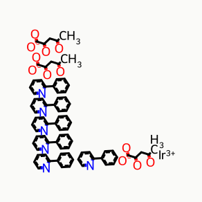 CC(=O)CC(=O)C(=O)[O-].CC(=O)CC(=O)C(=O)[O-].CC(=O)CC(=O)C(=O)[O-].[Ir+3].c1ccc(-c2ccccn2)cc1.c1ccc(-c2ccccn2)cc1.c1ccc(-c2ccccn2)cc1.c1ccc(-c2ccccn2)cc1.c1ccc(-c2ccccn2)cc1.c1ccc(-c2ccccn2)cc1